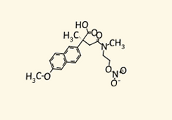 COc1ccc2cc([C@](C)(CC(=O)N(C)CCO[N+](=O)[O-])C(=O)O)ccc2c1